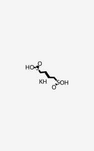 O=S(O)CC=CCS(=O)O.[KH]